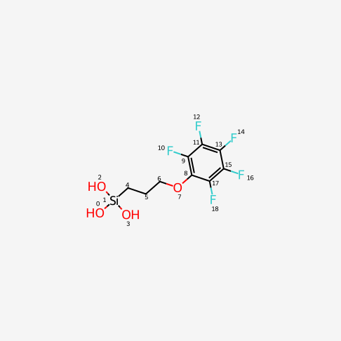 O[Si](O)(O)CCCOc1c(F)c(F)c(F)c(F)c1F